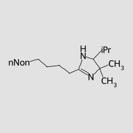 CCCCCCCCCCCCCC1=NC(C)(C)C(C(C)C)N1